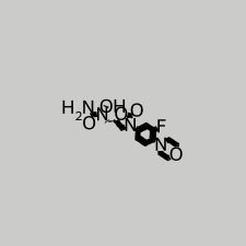 NC(=O)N(O)C[C@H]1CN(c2ccc(N3CCOCC3)c(F)c2)C(=O)O1